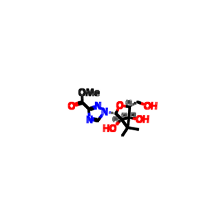 COC(=O)c1ncn([C@@H]2O[C@H](CO)[C@]3(O)C(C)(C)[C@]23O)n1